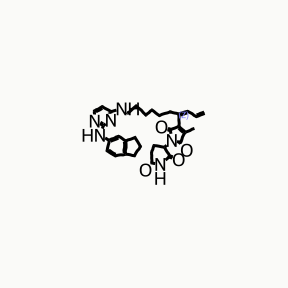 C=C/C=C(/CCCCCCNc1ccnc(Nc2ccc3c(c2)CCC3)n1)C1=C(C)C(=O)N(C2CCC(=O)NC2=O)C1=O